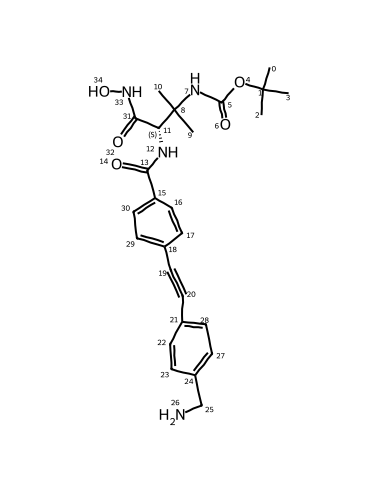 CC(C)(C)OC(=O)NC(C)(C)[C@H](NC(=O)c1ccc(C#Cc2ccc(CN)cc2)cc1)C(=O)NO